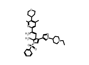 CCN1CCC(n2cc(-c3cn(S(=O)(=O)c4ccccc4)c(N)c3/C=C(\N)c3cc(C)c(C4CCOCC4)c(C)n3)cn2)CC1